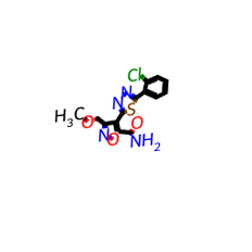 COCc1noc(C(N)=O)c1-c1nnc(-c2ccccc2Cl)s1